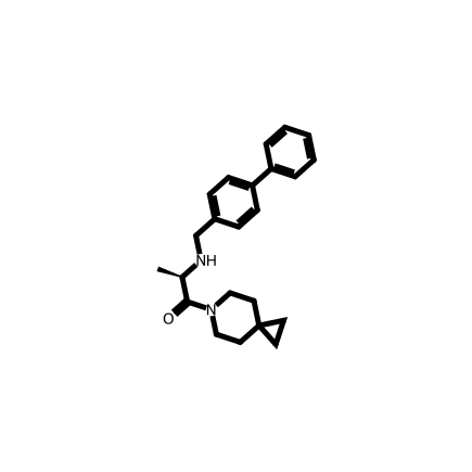 C[C@@H](NCc1ccc(-c2ccccc2)cc1)C(=O)N1CCC2(CC1)CC2